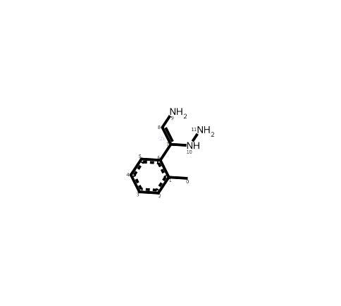 Cc1ccccc1/C(=C/N)NN